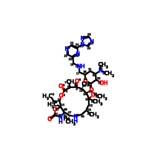 CC[C@H]1OC(=O)C(C)C(=O)[C@H](C)[C@@H](O[C@@H]2OC(CNCc3cncc(-n4cncn4)n3)CC(N(C)C)C2O)[C@](C)(OC)C[C@@H](C)CN[C@H](C)[C@H]2NC(=O)O[C@@]21C